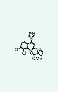 COC(=O)C12CC(CN1c1cc(-n3ccnc3)c3ccc(Cl)c(Cl)c3n1)C2